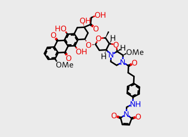 COc1cccc2c1C(=O)c1c(O)c3c(c(O)c1C2=O)C[C@@](O)(C(=O)CO)C[C@@H]3O[C@H]1C[C@H]2[C@H](O[C@@H]3[C@@H](OC)N(C(=O)CCc4ccc(NCN5C(=O)C=CC5=O)cc4)CCN32)[C@H](C)O1